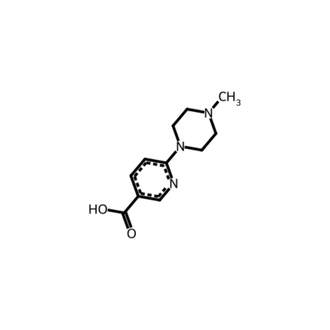 CN1CCN(c2ccc(C(=O)O)cn2)CC1